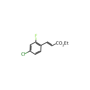 CCOC(=O)C=Cc1ccc(Cl)cc1F